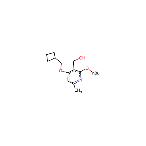 CCCCOc1nc(C)cc(OCC2CCC2)c1CO